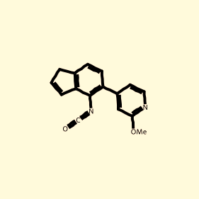 COc1cc(-c2ccc3c(c2N=C=O)C=CC3)ccn1